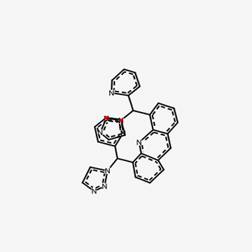 c1ccc(C(c2cccc3cc4cccc(C(c5ccccn5)n5ccnn5)c4nc23)n2ccnn2)nc1